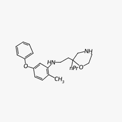 CCCC1(CCNc2cc(Oc3ccccc3)ccc2C)CNCCO1